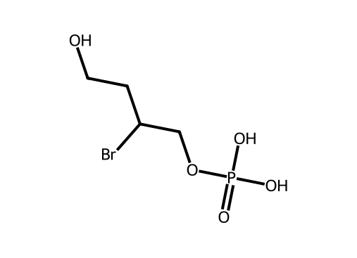 O=P(O)(O)OCC(Br)CCO